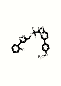 FC(F)(F)Oc1ccc(-c2ccc3nnc(C(F)(F)OCc4cc(-c5ccccc5Cl)on4)n3c2)cc1